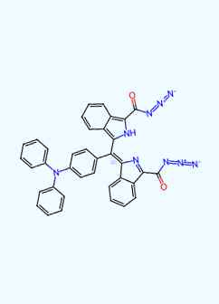 [N-]=[N+]=NC(=O)C1=N/C(=C(/c2ccc(N(c3ccccc3)c3ccccc3)cc2)c2[nH]c(C(=O)N=[N+]=[N-])c3ccccc23)c2ccccc21